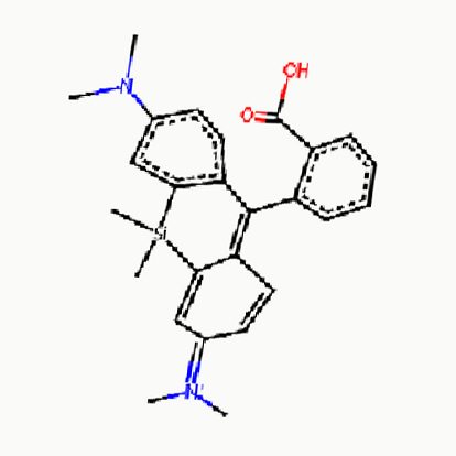 CN(C)c1ccc2c(c1)[Si](C)(C)C1=CC(=[N+](C)C)C=CC1=C2c1ccccc1C(=O)O